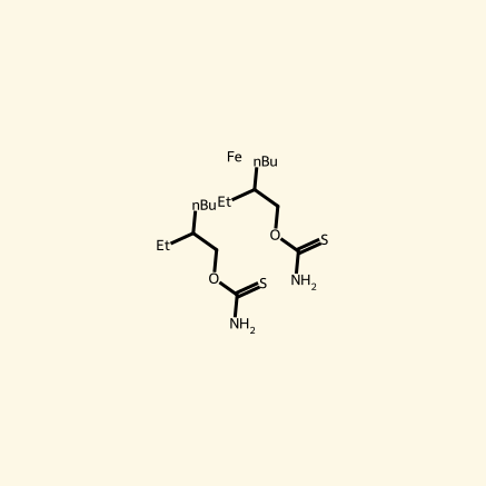 CCCCC(CC)COC(N)=S.CCCCC(CC)COC(N)=S.[Fe]